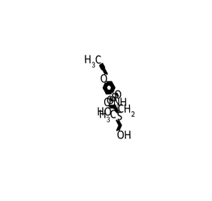 [CH2]C(C)(SCCCO)[C@@H](NS(=O)(=O)c1ccc(OCC#CC)cc1)C(=O)O